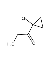 CCC(=O)C1(Cl)CC1